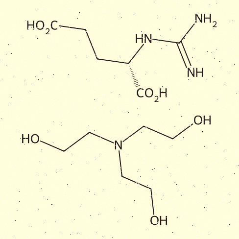 N=C(N)N[C@@H](CCC(=O)O)C(=O)O.OCCN(CCO)CCO